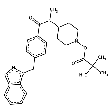 CN(C(=O)c1ccc(Cn2ncc3ccccc32)cc1)C1CCN(OC(=O)C(C)(C)C)CC1